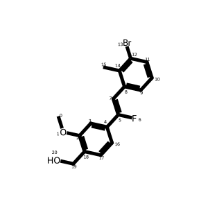 COc1cc(/C(F)=C/c2cccc(Br)c2C)ccc1CO